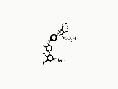 COc1cc(F)c(F)c(N2CCC(Oc3ccc(N4N=C(C(F)(F)F)[C@@H](C)[C@@H]4CC(=O)O)cc3)C(C)C2)c1